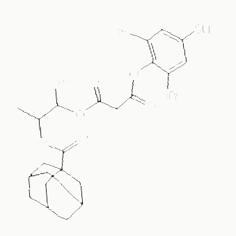 CC(C)c1cc(S)cc(C(C)C)c1OC(=O)CC(=O)OC(C(C)C)C(C)OC(=O)C12CC3CC(CC(C3)C1)C2